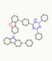 c1ccc(C2=NC(c3ccccc3)NC(c3ccc(-c4cccc5oc6cc(-n7c8ccccc8c8ccc(-c9ccccc9)cc87)ccc6c45)cc3)=N2)cc1